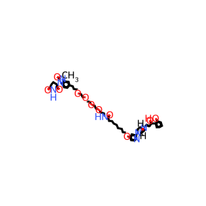 Cn1c(=O)n(C2CCC(=O)NC2=O)c2ccc(CCCOCCOCCOCCOCCNC(=O)CCCCCCCCOc3ccnc(N4C[C@H]5C[C@@H]4CN5/C=C/C(=O)c4ccccc4O)c3)cc21